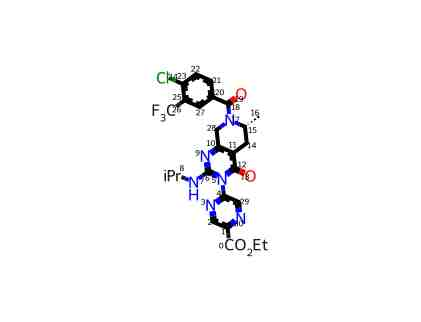 CCOC(=O)c1cnc(-n2c(NC(C)C)nc3c(c2=O)C[C@@H](C)N(C(=O)c2ccc(Cl)c(C(F)(F)F)c2)C3)cn1